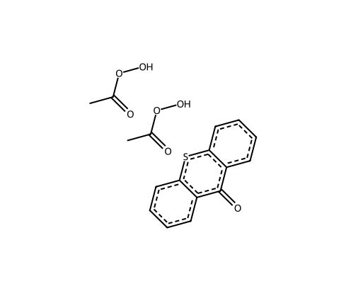 CC(=O)OO.CC(=O)OO.O=c1c2ccccc2sc2ccccc12